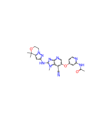 CC(=O)Nc1cc(Oc2cnc3nc(Nc4cc5n(n4)CCOC5(C)C)n(C)c3c2C#N)ccn1